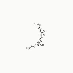 CCCCOP(=O)(O)OCCOP(=O)(O)CCOCC